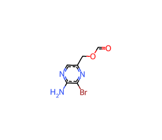 Nc1ncc(COC=O)nc1Br